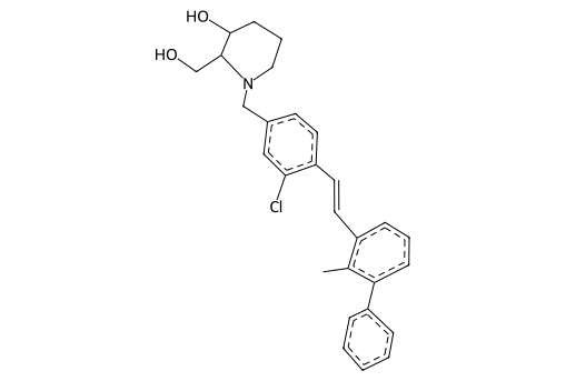 Cc1c(C=Cc2ccc(CN3CCCC(O)C3CO)cc2Cl)cccc1-c1ccccc1